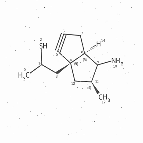 CC(S)C[C@@]12C#CC[C@H]1C(N)[C@@H](C)C2